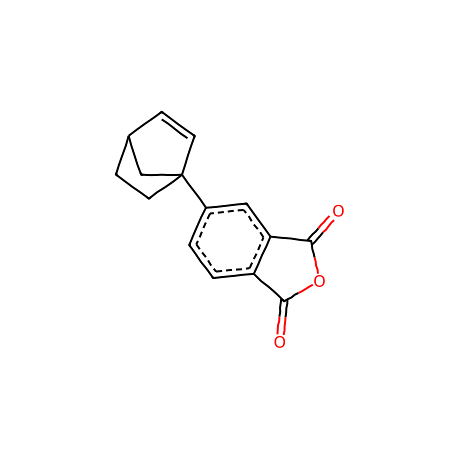 O=C1OC(=O)c2cc(C34C=CC(CC3)C4)ccc21